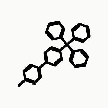 Cc1ccc(-c2ccc([Si](c3ccccc3)(c3ccccc3)c3ccccc3)cc2)cn1